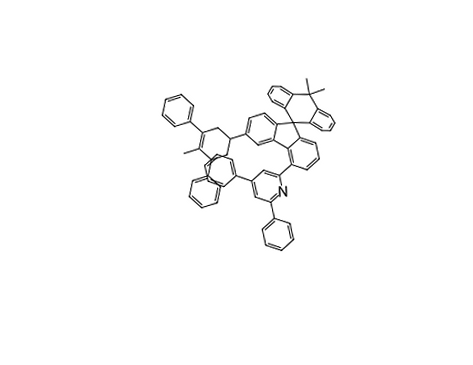 CC1=C(c2ccccc2)CC(c2ccc3c(c2)-c2c(-c4cc(-c5ccccc5)cc(-c5ccccc5)n4)cccc2C32c3ccccc3C(C)(C)c3ccccc32)CC1c1ccccc1